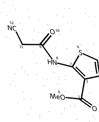 COC(=O)c1ccsc1NC(=O)CC#N